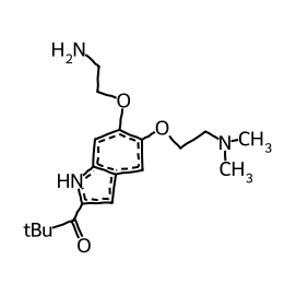 CN(C)CCOc1cc2cc(C(=O)C(C)(C)C)[nH]c2cc1OCCN